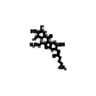 CCCCC(=O)Oc1cc2oc(CCC)c(C(=O)c3cc(I)c(O)c(I)c3)c2cc1O